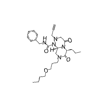 C#CCN1CC(=O)N2[C@@H](CCC)C(=O)N(CCCOCCCC)C[C@@H]2N1C(=O)NCc1ccccc1